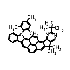 Cc1cc(C)c(-n2c3ccccc3c3cc4ccc5cc6c(c7ccc(c4c57)c32)-c2nc(C(C)(C)C)ncc2C6(C)C)c(C)c1